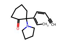 C#C/C=C\C(=C/C)C1(N2CCCC2)CCCCC1=O